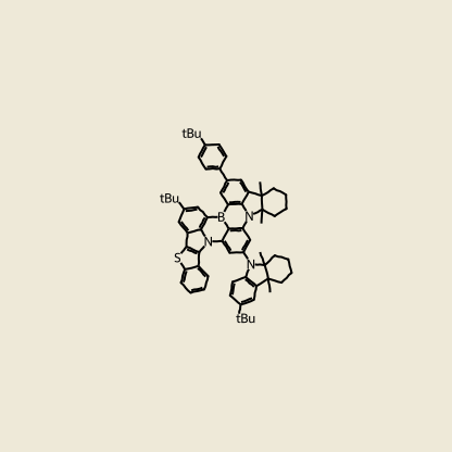 CC(C)(C)c1ccc(-c2cc3c4c(c2)C2(C)CCCCC2(C)N4c2cc(N4c5ccc(C(C)(C)C)cc5C5(C)CCCCC45C)cc4c2B3c2cc(C(C)(C)C)cc3c5sc6ccccc6c5n-4c23)cc1